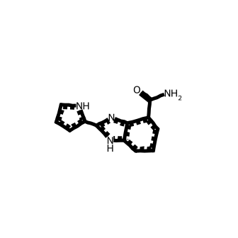 NC(=O)c1cccc2[nH]c(-c3ccc[nH]3)nc12